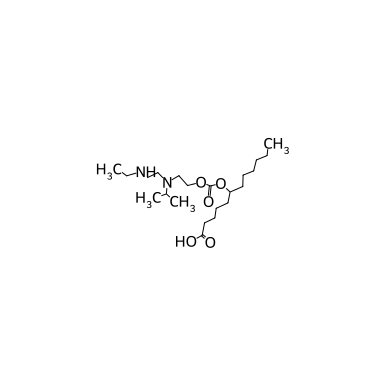 CCCCCCC(CCCCC(=O)O)OC(=O)OCCN(CCNCC)C(C)C